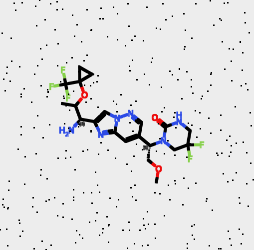 COC[C@H](c1cnn2cc([C@@H](N)C(C)OC3(C(F)(F)F)CC3)nc2c1)N1CC(F)(F)CNC1=O